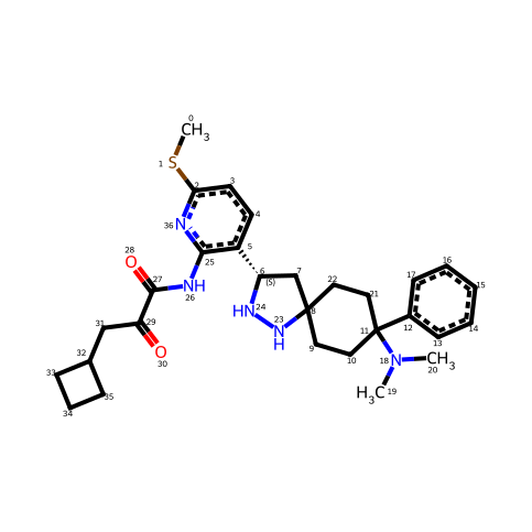 CSc1ccc([C@@H]2CC3(CCC(c4ccccc4)(N(C)C)CC3)NN2)c(NC(=O)C(=O)CC2CCC2)n1